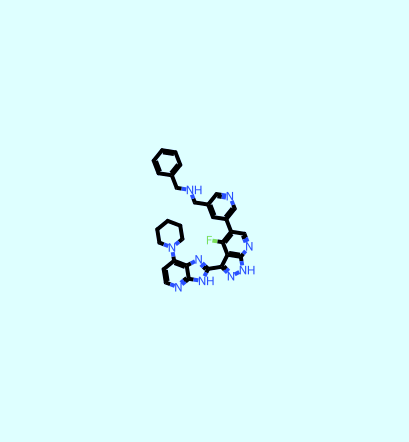 Fc1c(-c2cncc(CNCc3ccccc3)c2)cnc2[nH]nc(-c3nc4c(N5CCCCC5)ccnc4[nH]3)c12